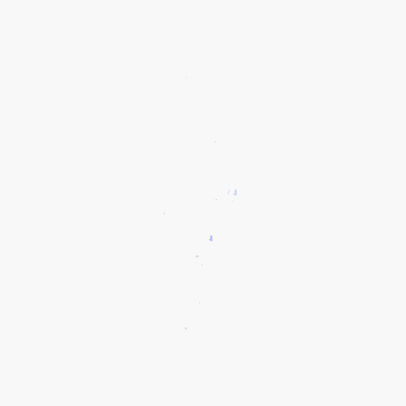 CSCSC[C@H](N)C(=O)NC(=O)OC(C)(C)C